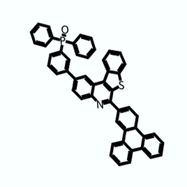 O=P(c1ccccc1)(c1ccccc1)c1cccc(-c2ccc3nc(C4=CCC5C(=C4)c4ccccc4-c4ccccc45)c4sc5ccccc5c4c3c2)c1